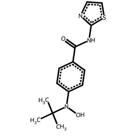 CC(C)(C)N(O)c1ccc(C(=O)Nc2nccs2)cc1